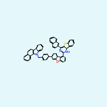 c1ccc2c(c1)SC1=C(c3ccc4ccccc4c3)N=C(c3cccc4oc5cc(-c6ccc(Cn7c8ccccc8c8ccc9ccccc9c87)cc6)ccc5c34)NC12